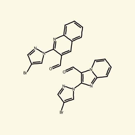 O=Cc1c(-n2cc(Br)cn2)nc2ccccn12.O=Cc1cc2ccccc2nc1-n1cc(Br)cn1